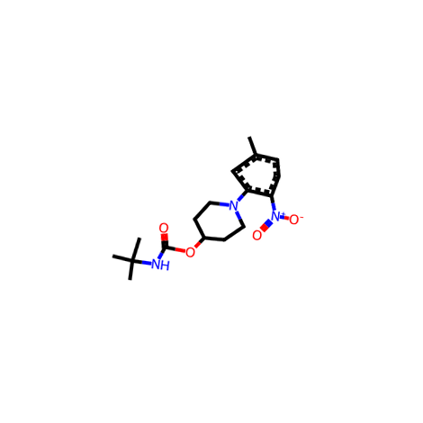 Cc1ccc([N+](=O)[O-])c(N2CCC(OC(=O)NC(C)(C)C)CC2)c1